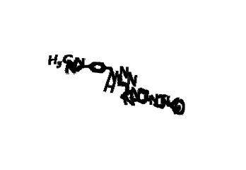 Cn1ncc(-c2ccc(CNc3cc(-c4cnc5cc(N6CCN(C7COC7)CC6)ccn45)ncn3)cc2)n1